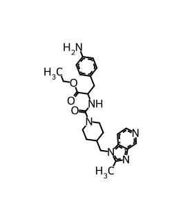 CCOC(=O)C(Cc1ccc(N)cc1)NC(=O)N1CCC(Cn2c(C)nc3cnccc32)CC1